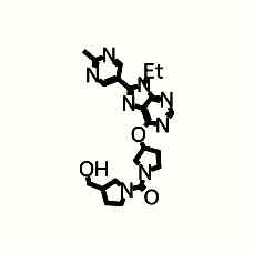 CCn1c(-c2cnc(C)nc2)nc2c(OC3CCN(C(=O)N4CCC(CO)C4)C3)ncnc21